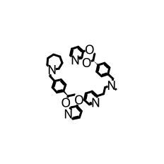 CN(CCc1ccccn1)Cc1ccc([C@H]2COc3cccnc3O2)cc1.c1cnc2c(c1)OC[C@H](c1ccc(CN3CCCCCC3)cc1)O2